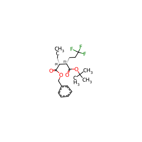 CCC[C@@H](C(=O)OCc1ccccc1)[C@H](CCC(F)(F)F)C(=O)OC(C)(C)C